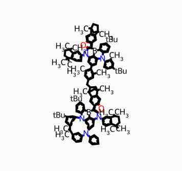 Cc1cc(C(C)(C)C)ccc1N1c2ccc(C(C)(C)C)cc2B2c3c1cc(-c1c(C)cc(CC4CC5(C)CC4(C)c4cc6c7c(oc6cc45)N(c4ccc5c(c4)C(C)(C)CCC5(C)C)c4cc5cc6c4B7c4cc(C(C)(C)C)ccc4N6c4cc(C(C)(C)C)cc(c4)C(C)(C)c4cccc(c4)N5c4ccccc4)cc1C)cc3N(c1ccc3c(c1)C(C)(C)CCC3(C)C)c1oc3cc4c(cc3c12)C1(C)CCC4(C)C1